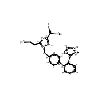 CCCCC(=O)c1nc(CCC(C)C)n(Cc2ccc(-c3ccccc3-c3nnn[nH]3)cc2)n1